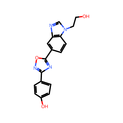 OCCn1cnc2cc(-c3nc(-c4ccc(O)cc4)no3)ccc21